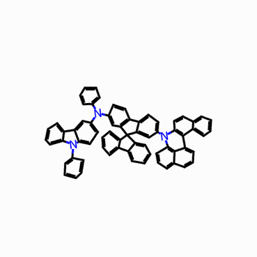 c1ccc(N(c2ccc3c(c2)C2(c4ccccc4-c4ccccc42)c2cc(N4c5ccc6ccccc6c5-c5cccc6cccc4c56)ccc2-3)c2ccc3c(c2)c2ccccc2n3-c2ccccc2)cc1